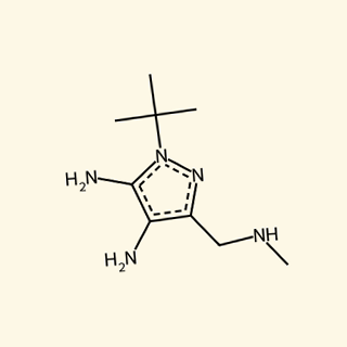 CNCc1nn(C(C)(C)C)c(N)c1N